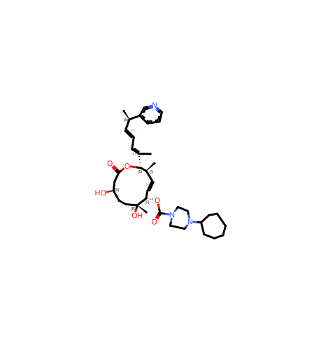 C/C(=C\C=C\[C@@H](C)c1cccnc1)[C@H]1OC(=O)C[C@H](O)CC[C@@](C)(O)[C@@H](OC(=O)N2CCN(C3CCCCCC3)CC2)/C=C/[C@@H]1C